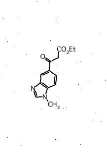 CCOC(=O)CC(=O)c1ccc2c(c1)ncn2C